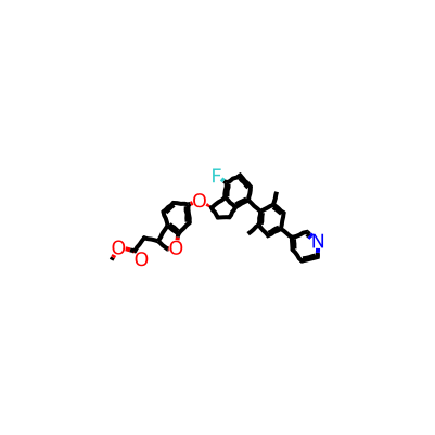 COC(=O)CC1COc2cc(O[C@@H]3CCc4c(-c5c(C)cc(-c6cccnc6)cc5C)ccc(F)c43)ccc21